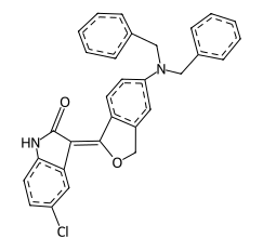 O=C1Nc2ccc(Cl)cc2C1=C1OCc2cc(N(Cc3ccccc3)Cc3ccccc3)ccc21